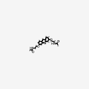 CC(=O)NCCOc1ccc2cc3ccc(OCCNC(C)=O)cc3nc2c1